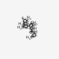 Cc1cc(F)cc(C)c1Oc1c(-c2cn(C)c(=O)c3[nH]c(C(=O)NC4CCCN(C)C4)cc23)ccn(C)c1=O